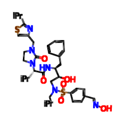 CC(C)CN(C[C@H](O)[C@H](Cc1ccccc1)NC(=O)[C@H](C(C)C)N1CCN(Cc2csc(C(C)C)n2)C1=O)S(=O)(=O)c1ccc(C=NO)cc1